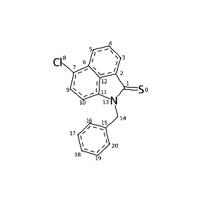 S=C1c2cccc3c(Cl)ccc(c23)N1Cc1ccccc1